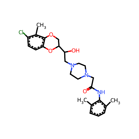 Cc1cccc(C)c1NC(=O)CN1CCN(CC(O)C2COc3c(ccc(Cl)c3C)O2)CC1